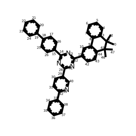 CC1(C)c2ccccc2-c2cc(-c3nc(-c4ccc(-c5ccccc5)cc4)nc(-c4ccc(-c5ccccc5)nc4)n3)ccc2C1(C)C